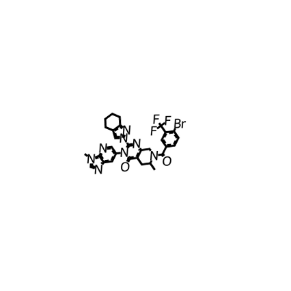 CC1Cc2c(nc(-n3cc4c(n3)CCCC4)n(-c3cnc4c(c3)ncn4C)c2=O)CN1C(=O)c1ccc(Br)c(C(F)(F)F)c1